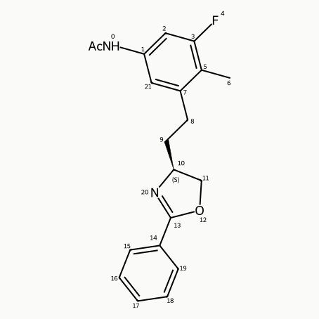 CC(=O)Nc1cc(F)c(C)c(CC[C@H]2COC(c3ccccc3)=N2)c1